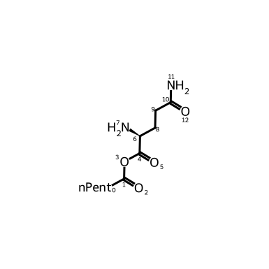 CCCCCC(=O)OC(=O)[C@@H](N)CCC(N)=O